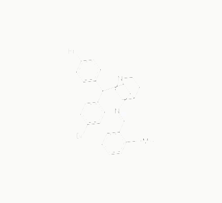 COc1ccccc1/C=N/C1C2CCN(CC2)C1C(c1ccc(Br)cc1)c1ccc(Br)cc1